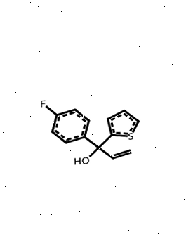 C=CC(O)(c1ccc(F)cc1)c1cccs1